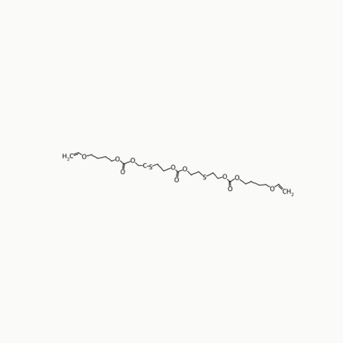 C=COCCCCOC(=O)OCCSCCOC(=O)OCCSCCOC(=O)OCCCCOC=C